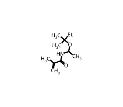 C=C(C)C(=O)NC(C)OC(C)(C)CC